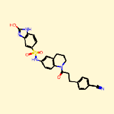 N#Cc1ccc(CCC(=O)N2CCCc3cc(NS(=O)(=O)c4ccc5[nH]c(O)nc5c4)ccc32)cc1